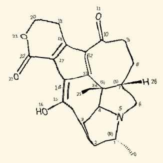 C[C@@H]1C2CC3N1C[C@H]1CCC(=O)C4=C(C(=C2O)C2=C4CCOC2=O)[C@@]31C